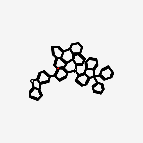 c1ccc(C2(c3ccccc3)c3ccccc3-c3c(N(c4ccc(-c5ccc6oc7ccccc7c6c5)cc4)c4ccccc4-c4cccc5cccc(C6CCCCC6)c45)cccc32)cc1